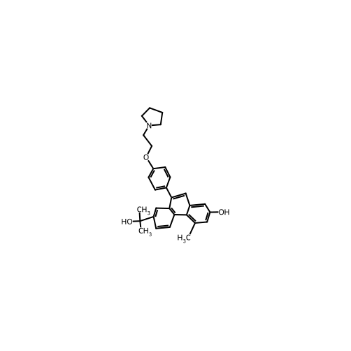 Cc1cc(O)cc2cc(-c3ccc(OCCN4CCCC4)cc3)c3cc(C(C)(C)O)ccc3c12